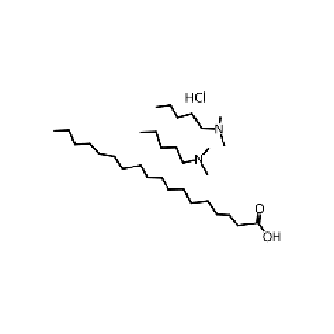 CCCCCCCCCCCCCCCCCC(=O)O.CCCCCN(C)C.CCCCCN(C)C.Cl